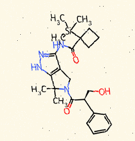 CC1(C)c2[nH]nc(NC(=O)C3([Si](C)(C)C)CCC3)c2CN1C(=O)[C@@H](CO)c1ccccc1